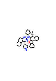 CC1(C)c2ccccc2N(c2nc(-c3ccncc3)c3c(ccc4ccccc43)n2)c2c1c1ccccc1c1c2oc2ccccc21